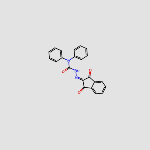 O=C(NN=c1c(=O)c2ccccc2c1=O)N(c1ccccc1)c1ccccc1